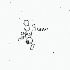 COC(=O)CCC#Cc1cc(Cl)ccc1NS(=O)(=O)c1ccc2ccccc2c1